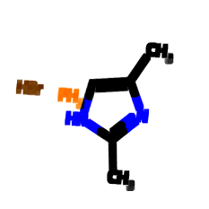 Br.Cc1c[nH]c(C)n1.P